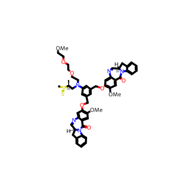 COCCOCCOCCN(C[C@H](C)S(C)=S)c1cc(COc2cc3c(cc2OC)C(=O)N2c4ccccc4C[C@H]2C=N3)cc(COc2cc3c(cc2OC)C(=O)N2c4ccccc4C[C@H]2C=N3)c1